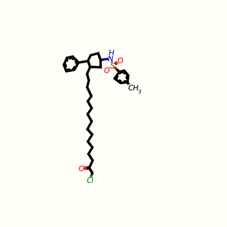 Cc1ccc(S(=O)(=O)NC2CCC(c3ccccc3)C(CCCCCCCCCCCCCCC(=O)CCl)C2)cc1